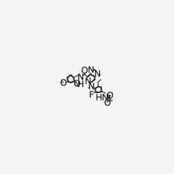 CCc1cc(CNS(C)(=O)=O)cc(F)c1N(C)c1cc2c(ncn2C)c(C(=O)NCc2ccc(OC)cc2OC)n1